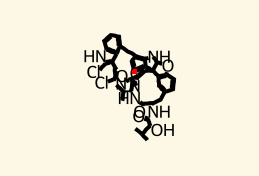 CC(C)C(O)C(=O)N[C@H]1Cc2ccc3c(c2)C24c5cccc(c5NC2O3)-c2cccc3[nH]c(Cl)c(c23)-c2oc(nc2Cl)-c2nc(oc24)[C@H](C(C)C)NC1=O